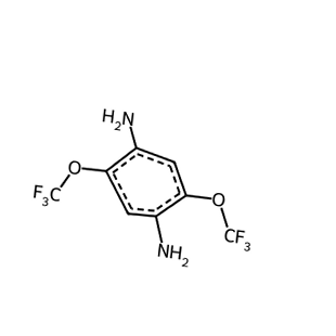 Nc1cc(OC(F)(F)F)c(N)cc1OC(F)(F)F